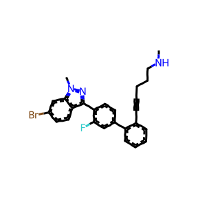 CNCCCC#Cc1ccccc1-c1ccc(-c2nn(C)c3cc(Br)ccc23)c(F)c1